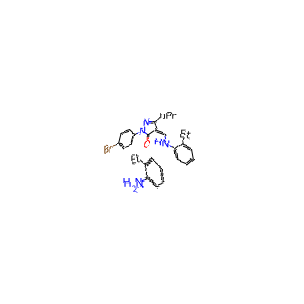 CCCC1=NN(c2ccc(Br)cc2)C(=O)/C1=C\Nc1ccccc1CC.CCc1ccccc1N